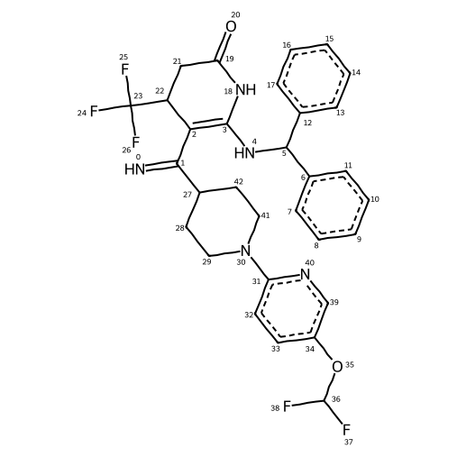 N=C(C1=C(NC(c2ccccc2)c2ccccc2)NC(=O)CC1C(F)(F)F)C1CCN(c2ccc(OC(F)F)cn2)CC1